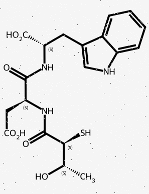 C[C@H](O)[C@H](S)C(=O)N[C@@H](CC(=O)O)C(=O)N[C@@H](Cc1c[nH]c2ccccc12)C(=O)O